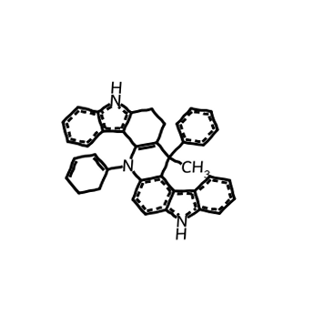 CC1(c2ccccc2)C2=C(c3c([nH]c4ccccc34)CC2)N(C2=CC=CCC2)c2ccc3[nH]c4ccccc4c3c21